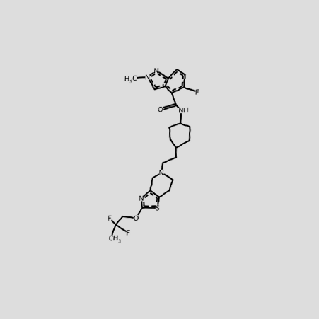 Cn1cc2c(C(=O)NC3CCC(CCN4CCc5sc(OCC(C)(F)F)nc5C4)CC3)c(F)ccc2n1